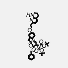 CC(C)(C)OC(=O)N(C(=O)OC(C)(C)C)C(Cn1ncc2cc(OCCc3ccc4c(n3)NCCC4)ccc21)C(=O)OCc1ccccc1